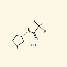 Cl.O=C(N[C@H]1CCNC1)C(F)(F)F